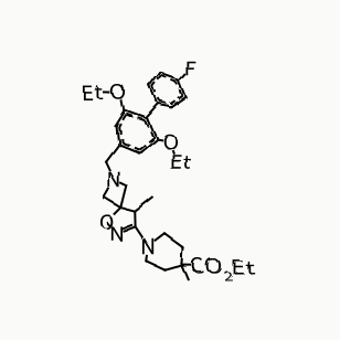 CCOC(=O)C1(C)CCN(C2=NOC3(CN(Cc4cc(OCC)c(-c5ccc(F)cc5)c(OCC)c4)C3)C2C)CC1